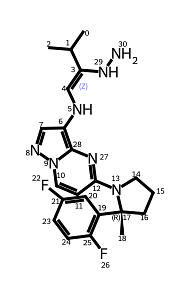 CC(C)/C(=C/Nc1cnn2ccc(N3CCC[C@]3(C)c3cc(F)ccc3F)nc12)NN